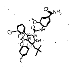 COc1cc(C(N)=O)ccc1NC(=O)[C@@H]1N[C@@H](CC(C)(C)C)[C@@](c2ccc(Cl)cc2)(S(C)(=O)=O)[C@H]1c1cccc(Cl)c1F